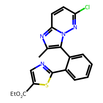 CCOC(=O)c1cnc(-c2ccccc2-c2c(C)nc3ccc(Cl)nn23)s1